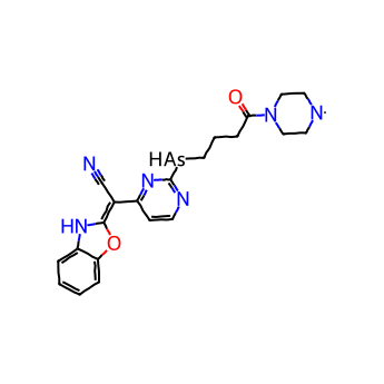 N#CC(=C1Nc2ccccc2O1)c1ccnc([AsH]CCCC(=O)N2CC[N]CC2)n1